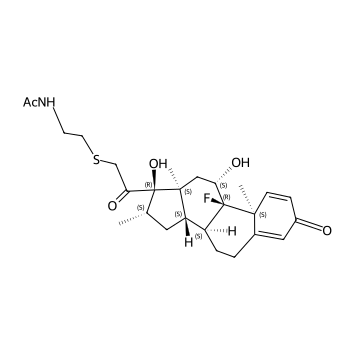 CC(=O)NCCSCC(=O)[C@@]1(O)[C@@H](C)C[C@H]2[C@@H]3CCC4=CC(=O)C=C[C@]4(C)[C@@]3(F)[C@@H](O)C[C@@]21C